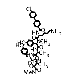 CNC(=O)C(=O)C(C)NC(=O)[C@H](Cc1ccc(O)cc1)NC(=O)[C@H](C)NC(=O)[C@H](c1ccc(O)cc1)N(C)C(=O)[C@H](CCCCN)NC(=O)c1ccc(-c2ccc(Cl)cc2)cc1